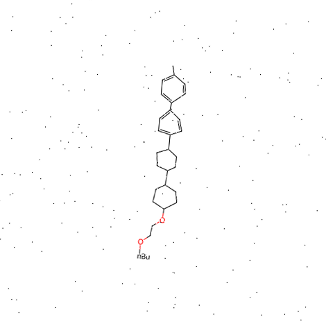 CCCCOCCOC1CCC(C2CCC(c3ccc(-c4ccc(C)cc4)cc3)CC2)CC1